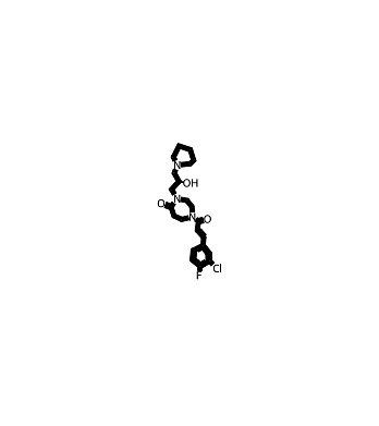 O=C(C=Cc1ccc(F)c(Cl)c1)N1CCC(=O)N(C[C@@H](O)CN2CCCCC2)CC1